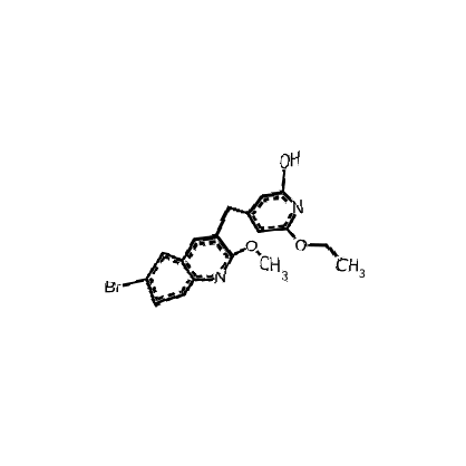 CCOc1cc(Cc2cc3cc(Br)ccc3nc2OC)cc(O)n1